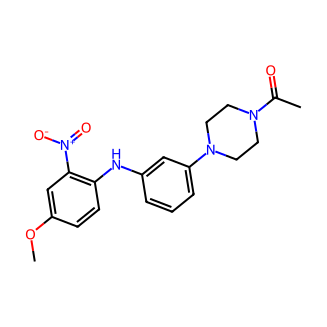 COc1ccc(Nc2cccc(N3CCN(C(C)=O)CC3)c2)c([N+](=O)[O-])c1